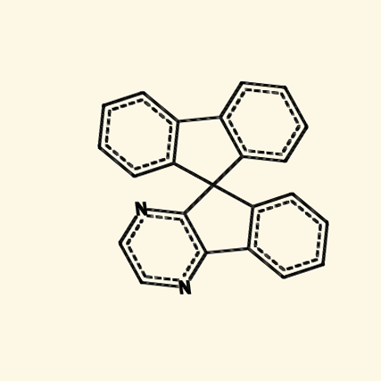 c1ccc2c(c1)-c1ccccc1C21c2ccccc2-c2nccnc21